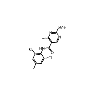 CSc1ncc(C(=O)Nc2c(Cl)cc(C)cc2Cl)c(C)n1